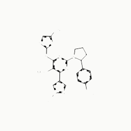 COc1c(Nc2ncc(C#N)s2)nc(N2CCCC2c2ccc(C)cc2)nc1-c1cnn(C)c1